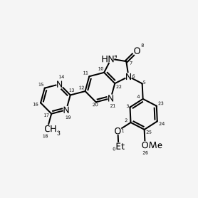 CCOc1cc(Cn2c(=O)[nH]c3cc(-c4nccc(C)n4)cnc32)ccc1OC